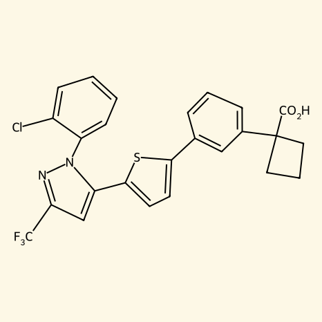 O=C(O)C1(c2cccc(-c3ccc(-c4cc(C(F)(F)F)nn4-c4ccccc4Cl)s3)c2)CCC1